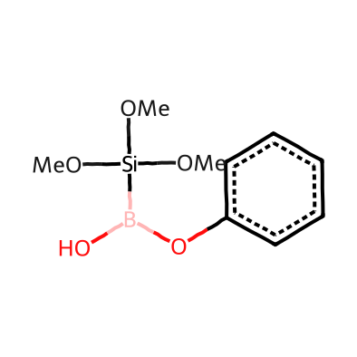 CO[Si](OC)(OC)B(O)Oc1ccccc1